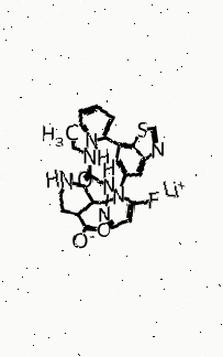 CCNC(=O)NC1(C2CNCCC2C(=O)[O-])N=CC=C(F)N1c1cc(-c2ccccn2)c2scnc2c1.[Li+]